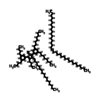 CCCCCCCCCCCCCCCC=CC1=C(c2cc(CCCCCCCC)cc(CCCCCCCC)c2)[N+](=[N-])C(c2cc(CCCC)cc(CCCC)c2)=C1CCCC.CCCCCCCCCCCCCCCC[CH2][Ni][CH2]CCCCCCCCCCCCCCCC